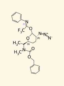 CC([C@@H]1CC[C@@H](N=[N+]=[N-])C(O/C(=N/c2ccccc2)C(F)(F)F)O1)N(C)C(=O)OCc1ccccc1